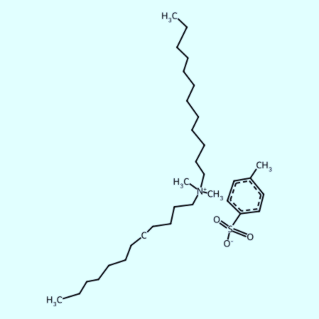 CCCCCCCCCCCC[N+](C)(C)CCCCCCCCCCCC.Cc1ccc(S(=O)(=O)[O-])cc1